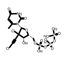 Cc1cc(=O)[nH]c(=O)n1[C@@H]1O[C@H](COP(=O)(O)OP(=O)(O)OP(=O)(O)O)[C@H](O)C1(Cl)C#CCl